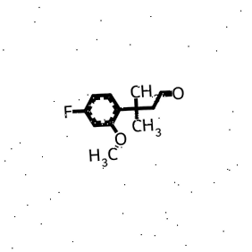 COc1cc(F)ccc1C(C)(C)CC=O